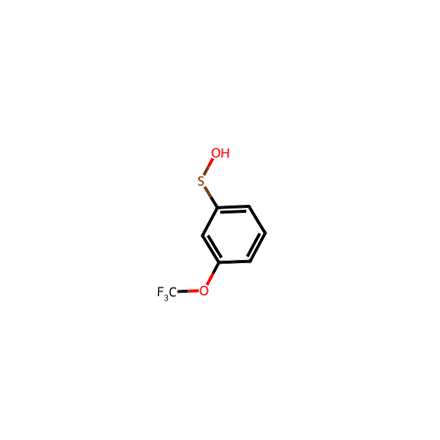 OSc1cccc(OC(F)(F)F)c1